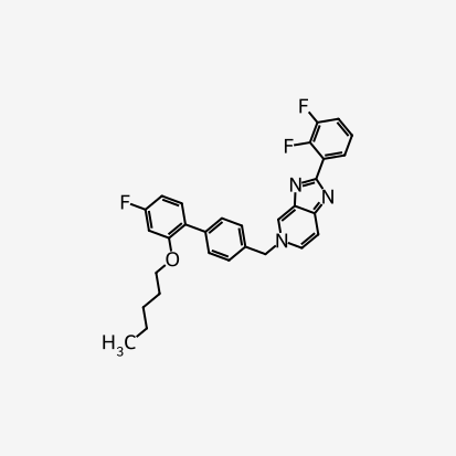 CCCCCOc1cc(F)ccc1-c1ccc(Cn2ccc3nc(-c4cccc(F)c4F)nc-3c2)cc1